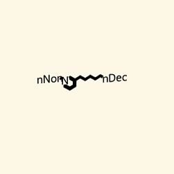 CCCCCCCCCCCCCCCc1ccc[n+](CCCCCCCCC)c1